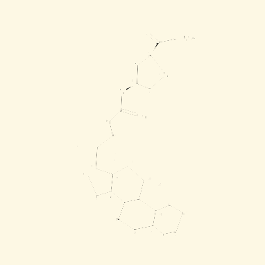 COC(=O)[C@@H]1C[C@H](NC(=O)CC[C@@H](C)[C@H]2CCC3C4CCC5CCCC[C@]5(C)C4CC[C@@]32C)CN1